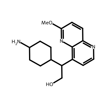 COc1ccc2nccc(C(CO)C3CCC(N)CC3)c2n1